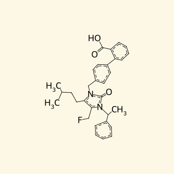 CC(C)CCc1c(CF)n(C(C)c2ccccc2)c(=O)n1Cc1ccc(-c2ccccc2C(=O)O)cc1